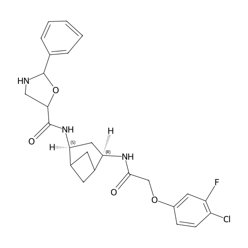 O=C(COc1ccc(Cl)c(F)c1)N[C@@H]1C[C@H](NC(=O)C2CNC(c3ccccc3)O2)C2CC1C2